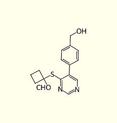 O=CC1(Sc2ncncc2-c2ccc(CO)cc2)CCC1